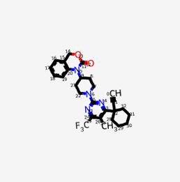 C#CC1(c2nc(N3CCC(N4C(=O)OCc5ccccc54)CC3)nc(C(F)(F)F)c2C)CCCCC1